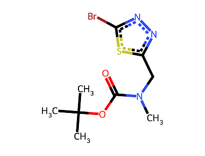 CN(Cc1nnc(Br)s1)C(=O)OC(C)(C)C